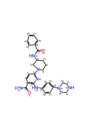 NC(=O)c1ccc(N2CCCC(NC(=O)c3ccccc3)C2)nc1Nc1ccc(N2CCNCC2)cc1